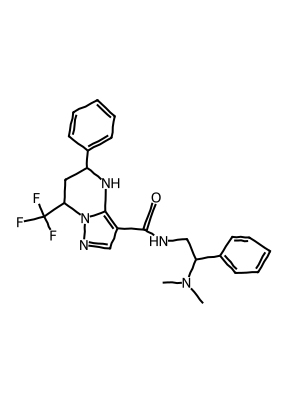 CN(C)C(CNC(=O)c1cnn2c1NC(c1ccccc1)CC2C(F)(F)F)c1ccccc1